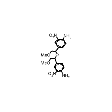 COCC(OC(COC)c1ccc(N)c([N+](=O)[O-])c1)c1ccc(N)c([N+](=O)[O-])c1